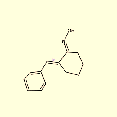 ON=C1CCCC/C1=C\c1ccccc1